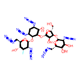 [N-]=[N+]=NC[C@@H]1O[C@H](O[C@H]2[C@@H](O)[C@H](O[C@@H]3[C@@H](O)[C@H](N=[N+]=[N-])C[C@H](N=[N+]=[N-])[C@H]3O[C@H]3O[C@H](CN=[N+]=[N-])[C@@H](O)[C@@H](F)[C@H]3N=[N+]=[N-])O[C@@H]2CO)[C@H](N=[N+]=[N-])[C@@H](O)[C@@H]1O